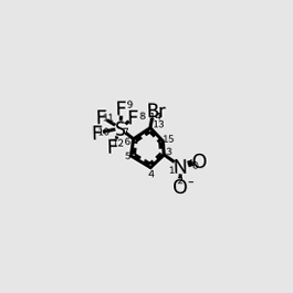 O=[N+]([O-])c1ccc(S(F)(F)(F)(F)F)c(Br)c1